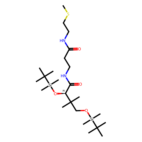 CSCCNC(=O)CCNC(=O)[C@H](O[Si](C)(C)C(C)(C)C)C(C)(C)CO[Si](C)(C)C(C)(C)C